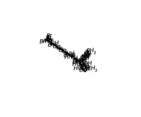 COc1cccc2c1C(=O)c1c(O)c3c(c(O)c1C2=O)C[C@@](O)(C(=O)NNC(=O)CCSCC(=O)NCCNC(=O)CCOCCOCCOCCOCCNC(=O)c1ccc2nc(CBr)c(CBr)nc2c1)C[C@@H]3O[C@H]1C[C@H]2[C@H](O[C@@H]3[C@@H](OC)OCCN32)[C@H](C)O1